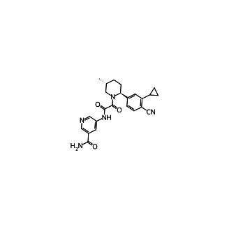 C[C@@H]1CC[C@@H](c2ccc(C#N)c(C3CC3)c2)N(C(=O)C(=O)Nc2cncc(C(N)=O)c2)C1